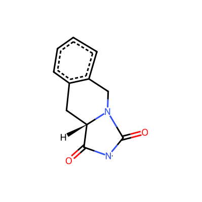 O=C1[N]C(=O)N2Cc3ccccc3C[C@@H]12